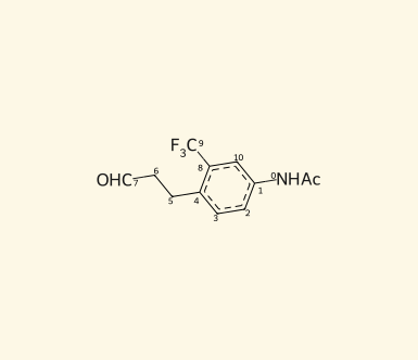 CC(=O)Nc1ccc(CCC=O)c(C(F)(F)F)c1